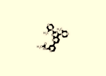 CC(=O)Nc1cc(-c2ccc3c(N4CCOCC4C)nc(N4CCOCC4C)nc3n2)ccn1